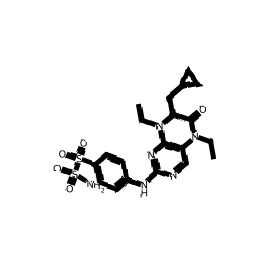 CCN1C(=O)C(CC2CC2)N(CC)c2nc(Nc3ccc(S(=O)(=O)S(N)(=O)=O)cc3)ncc21